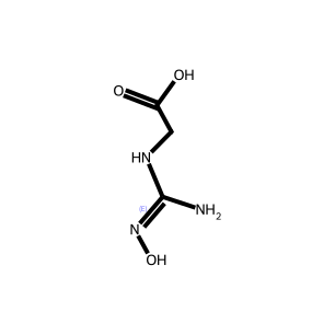 N/C(=N\O)NCC(=O)O